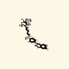 CC(C)(C)S(=O)(=O)NCCCCCNc1ccc(N2CCc3ccccc3C2)cc1